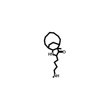 CNCCCCC1NC2C3CCCCCCCC(CC3)C2(C)C1=O